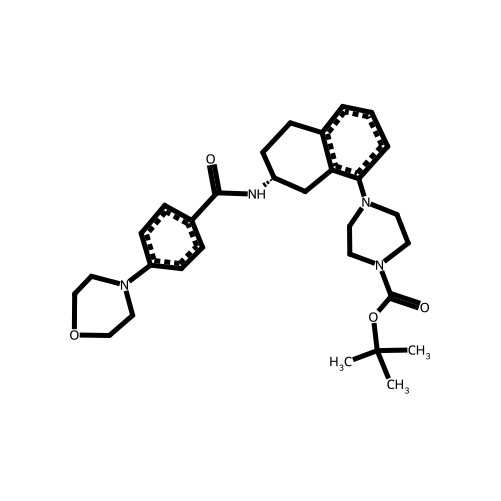 CC(C)(C)OC(=O)N1CCN(c2cccc3c2C[C@H](NC(=O)c2ccc(N4CCOCC4)cc2)CC3)CC1